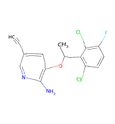 C#Cc1cnc(N)c(OC(C)c2c(Cl)ccc(F)c2Cl)c1